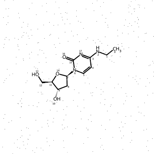 CCNc1ccn([C@H]2C[C@H](O)[C@@H](CO)O2)c(=O)n1